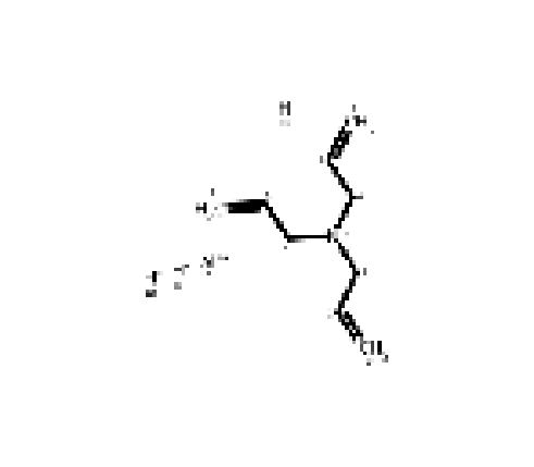 C=CCN(CC=C)CC=C.[Al+3].[H-].[H-].[H-]